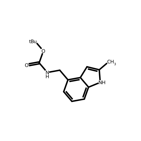 Cc1cc2c(CNC(=O)OC(C)(C)C)cccc2[nH]1